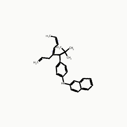 C=CC/C(=C/C=C\C)C(c1ccc(Nc2ccc3ccccc3c2)cc1)C(C)(C)C(=O)O